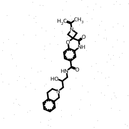 C=C(C)N1CC2(C1)Oc1ccc(C(=O)NCC(O)CN3CCc4ccccc4C3)cc1NC2=O